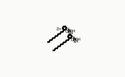 CCCCCCCCCCCCc1ccccc1OP(O)(=S)S.CCCCCCCCCCCCc1ccccc1OP(O)(=S)S.[Zn]